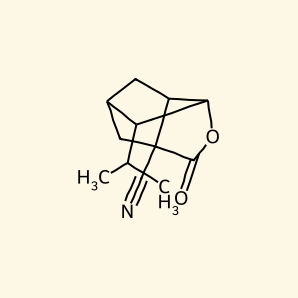 CC(C)C1C2CC3C1OC(=O)C3(C#N)C2